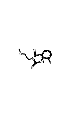 COCCn1c(=S)[nH]c2c(I)cccc2c1=O